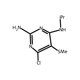 CSc1c(Cl)nc(N)nc1NC(C)C